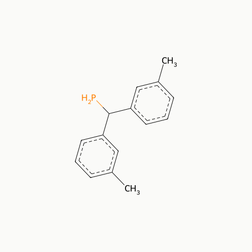 Cc1cccc(C(P)c2cccc(C)c2)c1